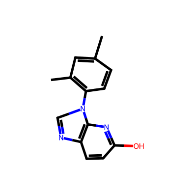 Cc1ccc(-n2cnc3ccc(O)nc32)c(C)c1